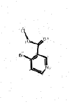 O=C(OCl)c1cnccc1Br